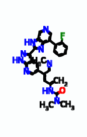 C=C(/C=C(\C=N/C)c1cnc2[nH]nc(-c3nc4c(-c5ccccc5F)cncc4[nH]3)c2c1)NC(=O)N(C)C